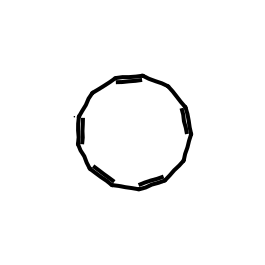 [C]1=CC=CC=CCC=CCC=CC1